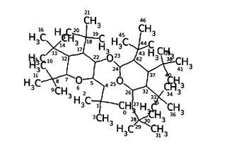 CC(C)(C)CC1OC(C(C)(C)C)C(C(C)(C)C)C(C(C)(C)C)C1OC1OC(CC(C)(C)C)C(C(C)(C)C)C(C(C)(C)C)C1C(C)(C)C